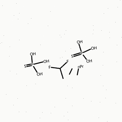 CC.CC(F)F.CCCC.OP(O)(O)=S.OP(O)(O)=S